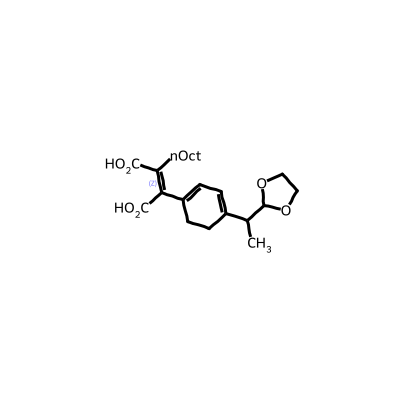 CCCCCCCC/C(C(=O)O)=C(/C(=O)O)C1=CC=C(C(C)C2OCCO2)CC1